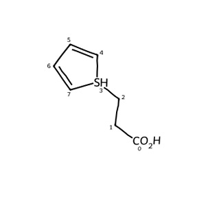 O=C(O)CC[SH]1C=CC=C1